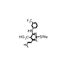 CSc1nc(C=CN(C)C)c(C(=O)O)c(Nc2cccc(C(F)(F)F)c2)n1